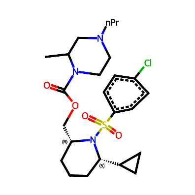 CCCN1CCN(C(=O)OC[C@H]2CCC[C@@H](C3CC3)N2S(=O)(=O)c2ccc(Cl)cc2)C(C)C1